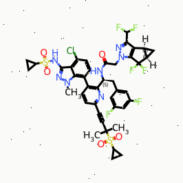 Cn1nc(NS(=O)(=O)C2CC2)c2c(Cl)ccc(-c3ccc(C#CC(C)(C)S(=O)(=O)C4CC4)nc3[C@H](Cc3cc(F)cc(F)c3)NC(=O)Cn3nc(C(F)F)c4c3C(F)(F)[C@@H]3C[C@H]43)c21